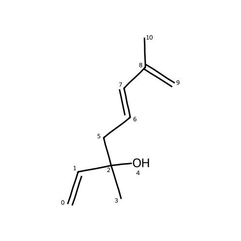 C=CC(C)(O)CC=CC(=C)C